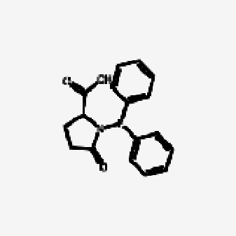 O=C(O)[C@@H]1CCC(=O)N1P(c1ccccc1)c1ccccc1